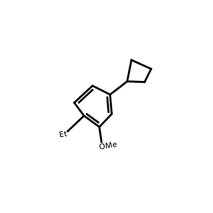 CCc1ccc(C2CCC2)cc1OC